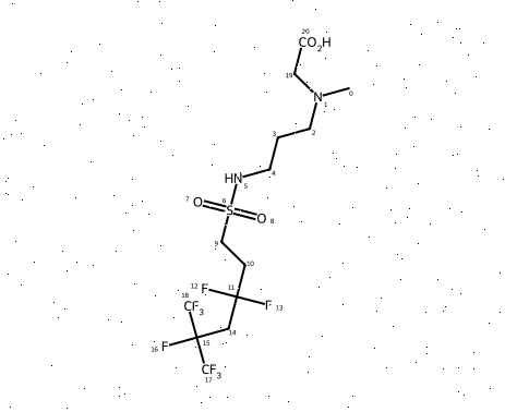 CN(CCCNS(=O)(=O)CCC(F)(F)CC(F)(C(F)(F)F)C(F)(F)F)CC(=O)O